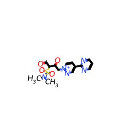 CN(C)S(=O)(=O)C([C]=O)C(=O)C[n+]1ccc(-c2ncccn2)cn1